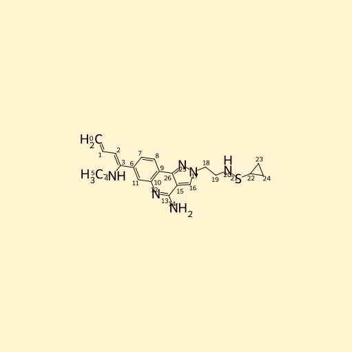 C=C/C=C(\NC)c1ccc2c(c1)nc(N)c1cn(CCNSC3CC3)nc12